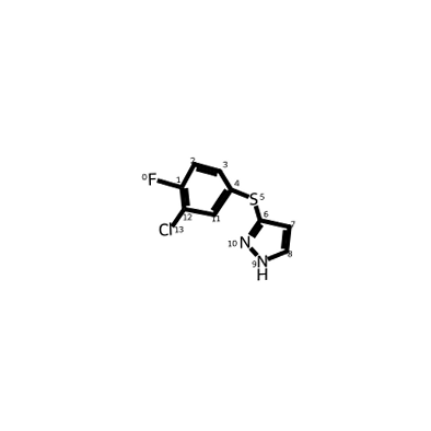 Fc1ccc(Sc2cc[nH]n2)cc1Cl